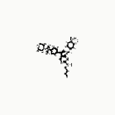 CCCCNc1ncc2c(-c3ccc(S(=O)(=O)N4CCOCC4)cc3)cn(C[C@H]3CC[C@H](N)CC3)c2n1